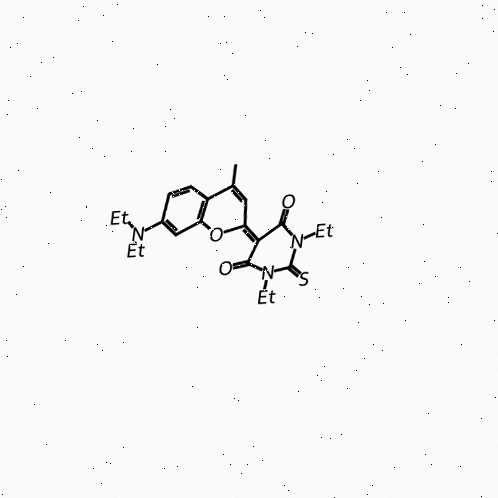 CCN1C(=O)C(=C2C=C(C)c3ccc(N(CC)CC)cc3O2)C(=O)N(CC)C1=S